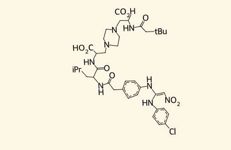 CC(C)CC(NC(=O)Cc1ccc(NC(=C[N+](=O)[O-])Nc2ccc(Cl)cc2)cc1)C(=O)NC(CN1CCN(CC(NC(=O)CC(C)(C)C)C(=O)O)CC1)C(=O)O